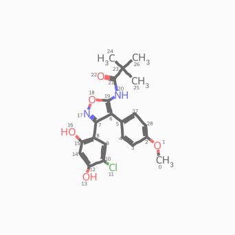 COc1ccc(-c2c(-c3cc(Cl)c(O)cc3O)noc2NC(=O)C(C)(C)C)cc1